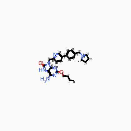 CCCCOc1nc(N)c2[nH]c(=O)n(Cc3ccc(-c4ccc(CN5CCCC5)cc4)cn3)c2n1